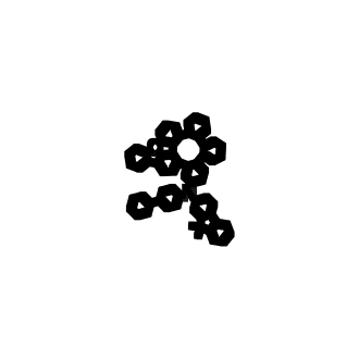 CC1(C)c2ccccc2-c2ccc(N(c3ccc(-c4ccccc4)cc3)c3ccc4c5ccccc5c5ccccc5c5ccccc5c5c(ccc6c7ccccc7oc65)c4c3)cc21